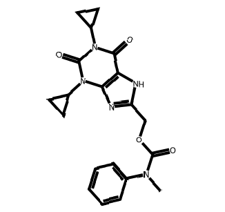 CN(C(=O)OCc1nc2c([nH]1)c(=O)n(C1CC1)c(=O)n2C1CC1)c1ccccc1